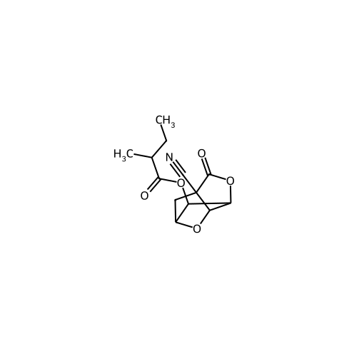 CCC(C)C(=O)OC1C2CC3(C#N)C(=O)OC1C3O2